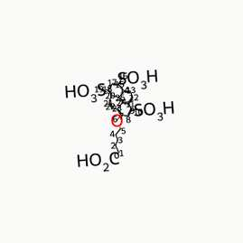 O=C(O)CCCCCOc1cc(S(=O)(=O)O)c2ccc3c(S(=O)(=O)O)cc(S(=O)(=O)O)c4ccc1c2c43